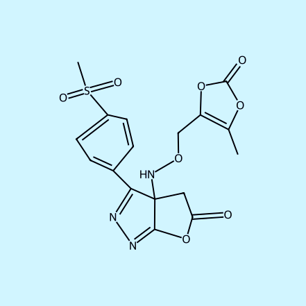 Cc1oc(=O)oc1CONC12CC(=O)OC1=NN=C2c1ccc(S(C)(=O)=O)cc1